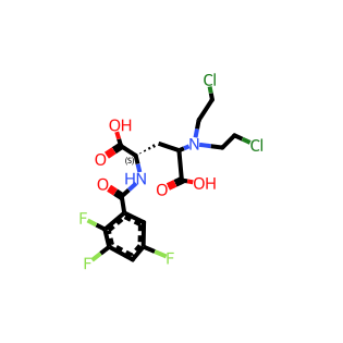 O=C(N[C@@H](CC(C(=O)O)N(CCCl)CCCl)C(=O)O)c1cc(F)cc(F)c1F